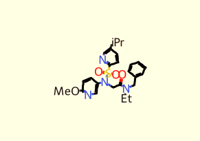 CCN(Cc1ccccc1)C(=O)CN(c1ccc(OC)nc1)S(=O)(=O)c1ccc(C(C)C)cn1